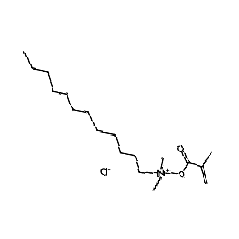 C=C(C)C(=O)O[N+](C)(C)CCCCCCCCCCCC.[Cl-]